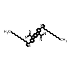 CCCCCCCCCCCCc1ccsc1-c1ccc2c(c1)=C(C(C#N)C#N)c1cc3c(cc1=2)C(C(C#N)C#N)=c1cc(-c2sccc2CCCCCCCCCCCC)ccc1=3